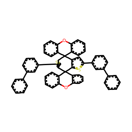 c1ccc(-c2cccc(-c3cc4c(s3)C3(c5ccccc5Oc5ccccc53)c3cc(-c5cccc(-c6ccccc6)c5)sc3C43c4ccccc4Oc4ccccc43)c2)cc1